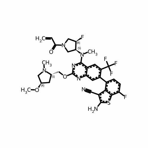 C=CC(=O)N1C[C@@H](F)[C@@H](N(C)c2nc(OC[C@@H]3C[C@@H](OC)CN3C)nc3cc(-c4ccc(F)c5sc(N)c(C#N)c45)c(C(F)(F)F)cc23)C1